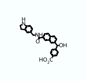 O=C(O)c1ccc(C(O)c2ccc3ccc(C(=O)NCc4ccc5c(c4)CCN5)cc3c2)cc1